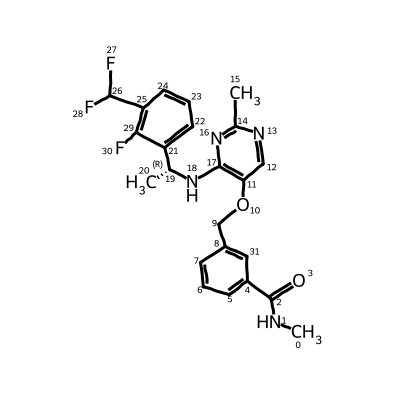 CNC(=O)c1cccc(COc2cnc(C)nc2N[C@H](C)c2cccc(C(F)F)c2F)c1